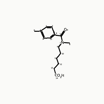 Cc1ccc(C(=O)N(C)CCCCCC(=O)O)cc1